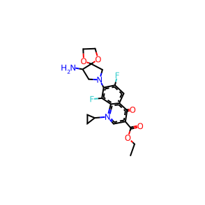 CCOC(=O)c1cn(C2CC2)c2c(F)c(N3CC(N)C4(C3)OCCO4)c(F)cc2c1=O